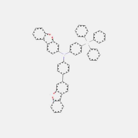 c1ccc([Si](c2ccccc2)(c2ccccc2)c2ccc(N(c3ccc(-c4ccc5c(c4)oc4ccccc45)cc3)c3ccc4c(c3)oc3ccccc34)cc2)cc1